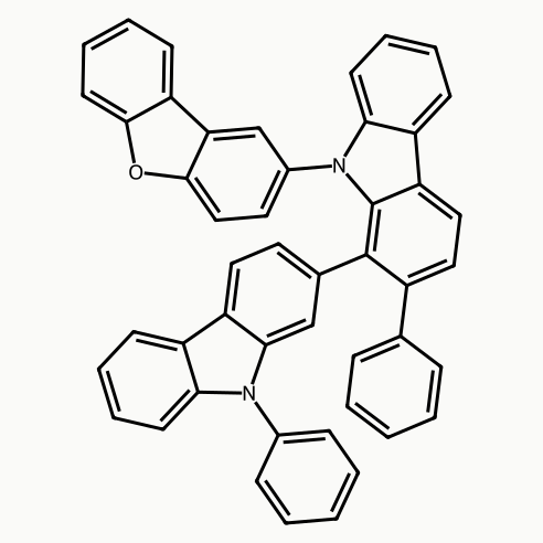 c1ccc(-c2ccc3c4ccccc4n(-c4ccc5oc6ccccc6c5c4)c3c2-c2ccc3c4ccccc4n(-c4ccccc4)c3c2)cc1